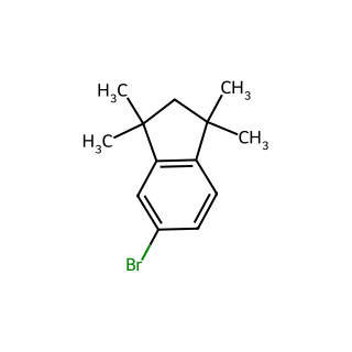 CC1(C)CC(C)(C)c2cc(Br)ccc21